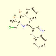 CC1(CCl)N=C(c2cnc3ccccc3c2)c2ccccc2C1(Br)Br